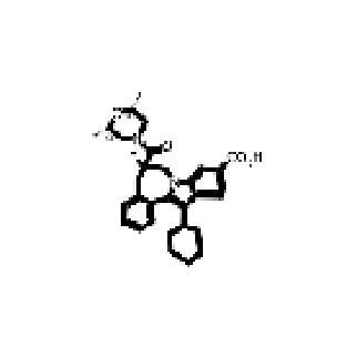 C[C@@H]1CN(C(=O)C2(F)Cc3ccccc3-c3c(C4CCCCC4)c4ccc(C(=O)O)cc4n3C2)C[C@H](C)O1